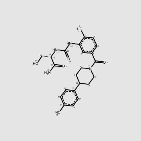 Cc1ccc(C(=O)N2CCC(c3ccc(C#N)cc3)CC2)cc1NC(=O)N[C@@H](CO)C(N)=O